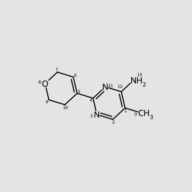 Cc1cnc(C2=CCOCC2)nc1N